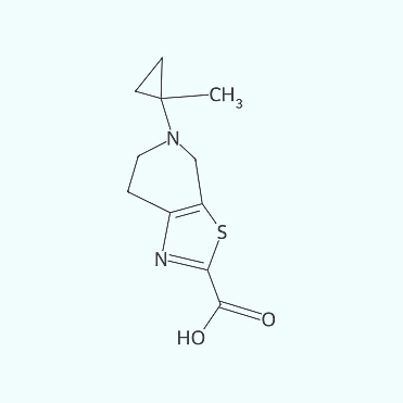 CC1(N2CCc3nc(C(=O)O)sc3C2)CC1